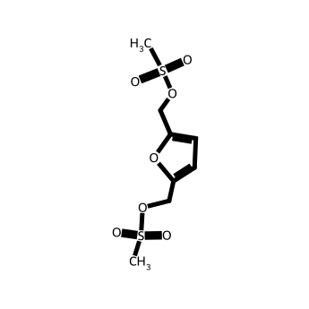 CS(=O)(=O)OCc1ccc(COS(C)(=O)=O)o1